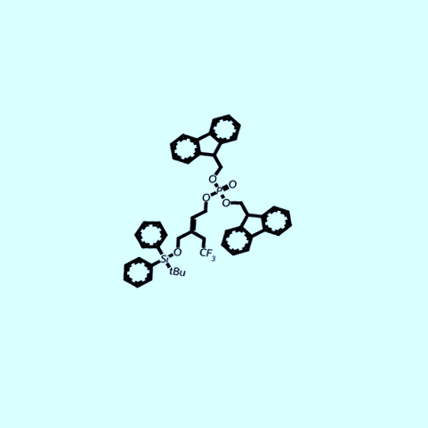 CC(C)(C)[Si](OCC(=CCOP(=O)(OCC1c2ccccc2-c2ccccc21)OCC1c2ccccc2-c2ccccc21)CC(F)(F)F)(c1ccccc1)c1ccccc1